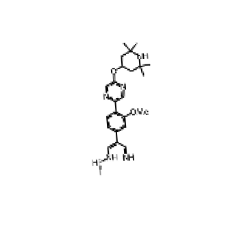 COc1cc(/C(C=N)=C/NPI)ccc1-c1cnc(OC2CC(C)(C)NC(C)(C)C2)cn1